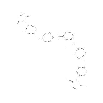 CC(C)(c1ccc(Oc2ccc(N3C(=O)C=CC3=O)cc2)cc1)c1cccc(C(C)(C)c2ccc(Oc3ccc(N4C(=O)C=CC4=O)cc3)cc2)c1